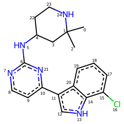 CC1(C)CC(Nc2nccc(-c3c[nH]c4c(Cl)cccc34)n2)CCN1